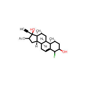 C#CC1(O)C(OC(C)=O)C[C@H]2[C@@H]3CC=C4C(F)C(O)CC[C@]4(C)[C@@H]3CC[C@@]21C